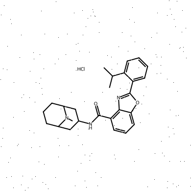 CC(C)c1ccccc1-c1nc2c(C(=O)NC3CC4CCCC(C3)N4C)cccc2o1.Cl